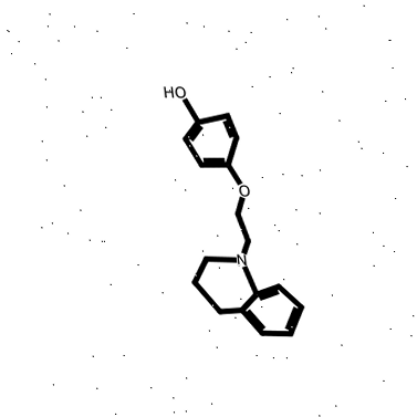 Oc1ccc(OCCN2CCCc3ccccc32)cc1